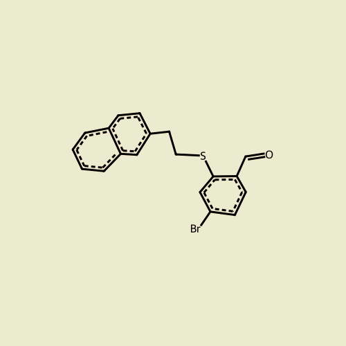 O=Cc1ccc(Br)cc1SCCc1ccc2ccccc2c1